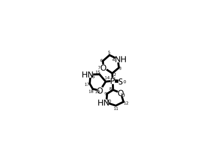 S=P(C1CNCCO1)(C1CNCCO1)C1CNCCO1